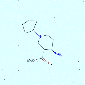 COC(=O)[C@@H]1CN(C2CCCC2)CC[C@H]1N